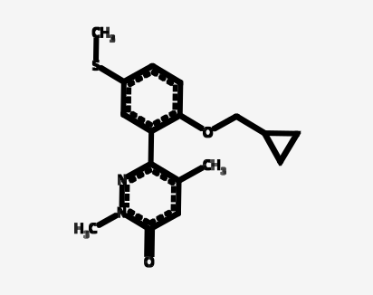 CSc1ccc(OCC2CC2)c(-c2nn(C)c(=O)cc2C)c1